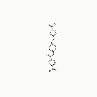 O=C(CN1CCN(CCc2ccc([N+](=O)[O-])cc2)CC1)c1ccc([N+](=O)[O-])cc1